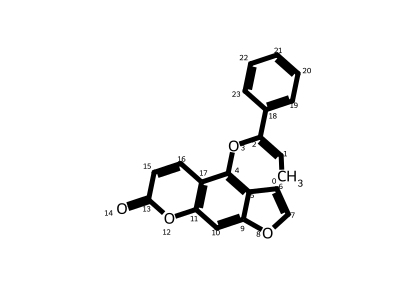 C/C=C(\Oc1c2ccoc2cc2oc(=O)ccc12)c1ccccc1